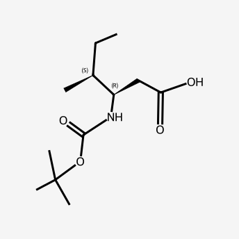 CC[C@H](C)[C@@H](CC(=O)O)NC(=O)OC(C)(C)C